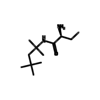 CC[C@H](N)C(=O)NC(C)(C)CC(C)(C)C